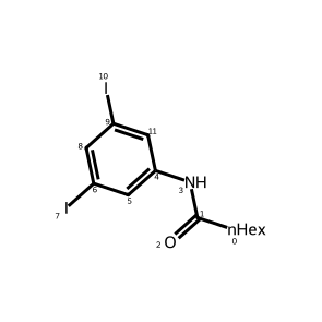 CCCCCCC(=O)Nc1cc(I)cc(I)c1